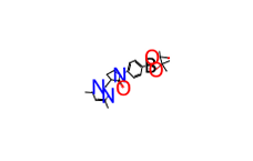 Cc1cc(C)nc(C2CCN(c3ccc(B4OC(C)(C)C(C)(C)O4)cc3)C2=O)n1